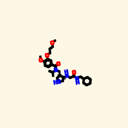 COCCCOc1cc(C(=O)N(C[C@@H]2CNC[C@H]2NCC(=O)NCC2CCCCC2)C(C)C)ccc1OC